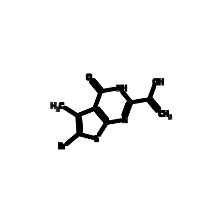 C=C(O)c1nc2sc(Br)c(C)c2c(=O)[nH]1